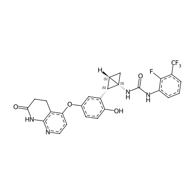 O=C1CCc2c(Oc3ccc(O)c([C@@H]4[C@@H]5C[C@@]45NC(=O)Nc4cccc(C(F)(F)F)c4F)c3)ccnc2N1